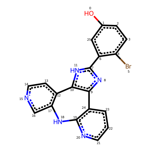 Oc1ccc(Br)c(-c2nc3c([nH]2)-c2ccncc2Nc2ncccc2-3)c1